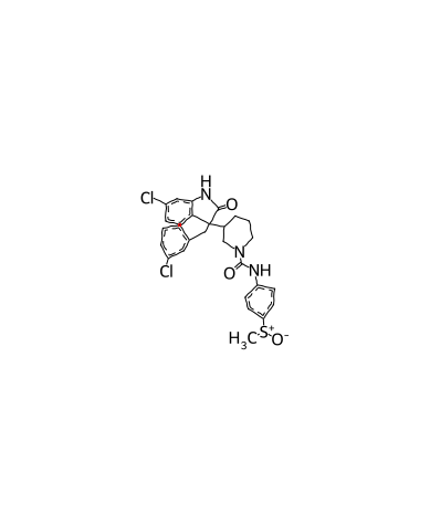 C[S+]([O-])c1ccc(NC(=O)N2CCCC(C3(Cc4cccc(Cl)c4)C(=O)Nc4cc(Cl)ccc43)C2)cc1